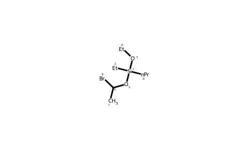 CCC[Si](CC)(OCC)OC(C)Br